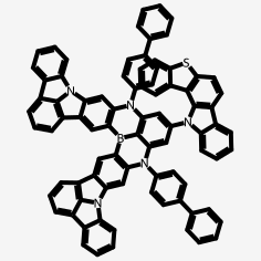 c1ccc(-c2ccc(N3c4cc5c(cc4B4c6cc7c8cccc9c%10ccccc%10n(c7cc6N(c6ccc(-c7ccccc7)cc6)c6cc(-n7c%10ccccc%10c%10ccc%11sc%12ccccc%12c%11c%107)cc3c64)c98)c3cccc4c6ccccc6n5c43)cc2)cc1